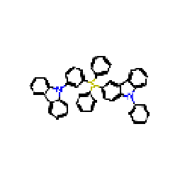 c1ccc(-n2c3ccccc3c3cc(S(c4ccccc4)(c4ccccc4)c4cccc(-n5c6ccccc6c6ccccc65)c4)ccc32)cc1